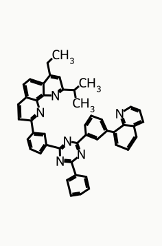 CCc1cc(C(C)C)nc2c1ccc1ccc(-c3cccc(-c4nc(-c5ccccc5)nc(-c5cccc(-c6cccc7cccnc67)c5)n4)c3)nc12